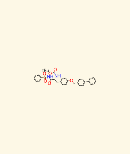 CC(C)(C)OC(=O)NC(Cc1ccc(OCc2ccc(-c3ccccc3)cc2)cc1)C(=O)NS(=O)(=O)c1ccccc1